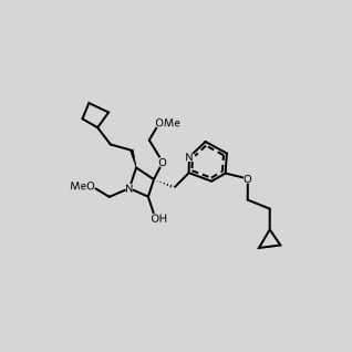 COCO[C@@]1(Cc2cc(OCCC3CC3)ccn2)C(O)N(COC)[C@H]1CCC1CCC1